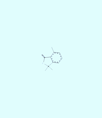 Cc1cccc2c1C(=O)NC2(C)C